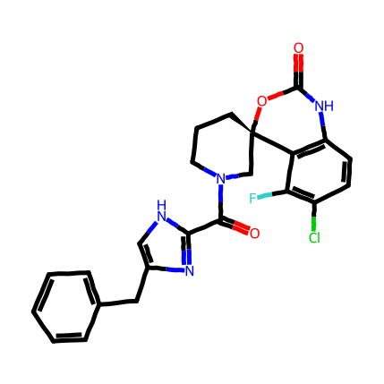 O=C1Nc2ccc(Cl)c(F)c2[C@@]2(CCCN(C(=O)c3nc(Cc4ccccc4)c[nH]3)C2)O1